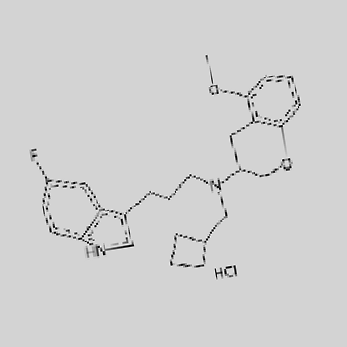 COc1cccc2c1CC(N(CCCc1c[nH]c3ccc(F)cc13)CC1CCC1)CO2.Cl